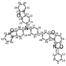 c1ccc(-c2nc3c(ccc4oc5cc(-c6ccc(N(c7ccc8c(c7)oc7ccccc78)c7ccc8c(c7)oc7ccccc78)cc6)ccc5c43)o2)cc1